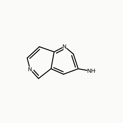 [NH]c1cnc2ccncc2c1